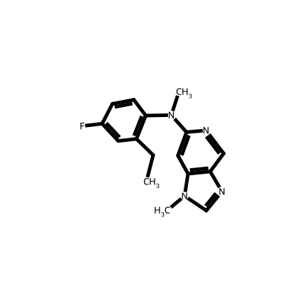 CCc1cc(F)ccc1N(C)c1cc2c(cn1)ncn2C